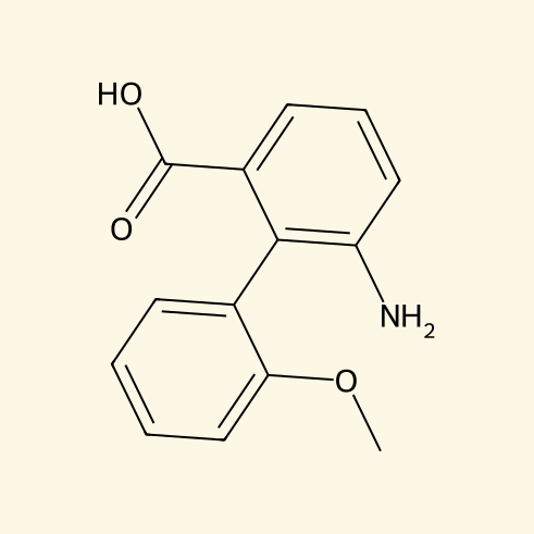 COc1ccccc1-c1c(N)cccc1C(=O)O